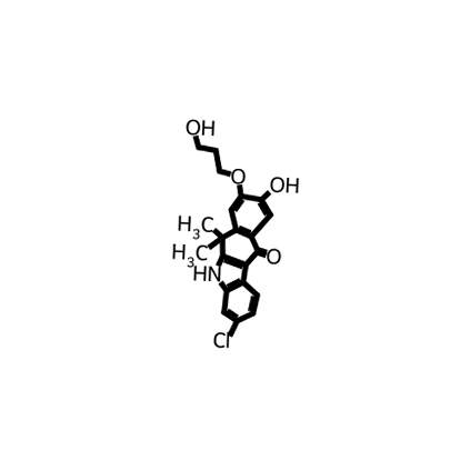 CC1(C)c2cc(OCCCO)c(O)cc2C(=O)c2c1[nH]c1cc(Cl)ccc21